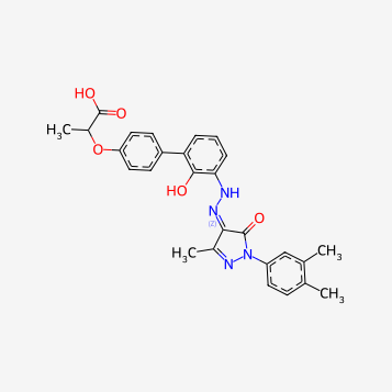 CC1=NN(c2ccc(C)c(C)c2)C(=O)/C1=N\Nc1cccc(-c2ccc(OC(C)C(=O)O)cc2)c1O